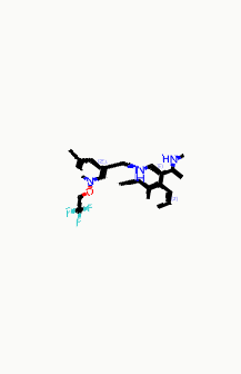 C=C(C)/C=C(/CN/C=C(/C(=C)NC)C(/C=C\C)=C(C)CC)CN(C)OCC(F)(F)F